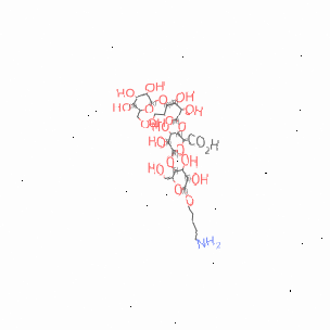 NCCCCCO[C@@H]1OC(CO)[C@@H](O[C@@H]2OC(C(=O)O)[C@@H](O[C@H]3OC(CO)[C@H](O[C@H]4OC(CO)[C@@H](O)C(O)C4O)[C@H](O)C3O)C(O)[C@@H]2O)C(O)[C@@H]1O